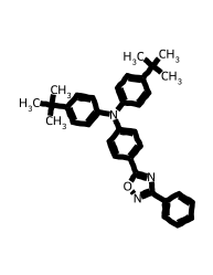 CC(C)(C)c1ccc(N(c2ccc(-c3nc(-c4ccccc4)no3)cc2)c2ccc(C(C)(C)C)cc2)cc1